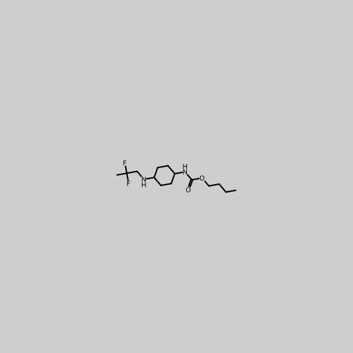 CCCCOC(=O)NC1CCC(NCC(C)(F)F)CC1